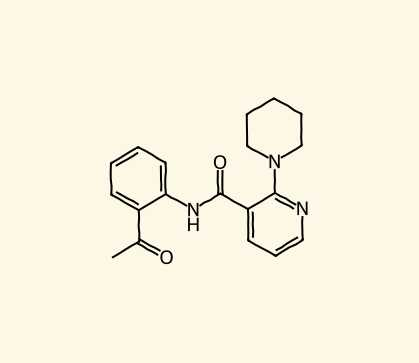 CC(=O)c1ccccc1NC(=O)c1cccnc1N1CCCCC1